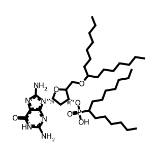 CCCCCCCC(CCCCCCC)OCC1O[C@@H](n2c(N)nc3c(=O)[nH]c(N)nc32)C[C@H]1OP(=O)(O)C(CCCCCC)CCCCCCC